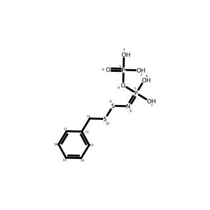 O=P(O)(O)OP(O)(O)=NSSCc1ccccc1